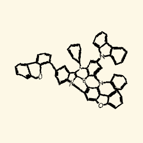 c1ccc(N2c3cc(-n4c5ccccc5c5ccccc54)cc4c3B3c5c(cc6oc7ccccc7c6c5N4c4ccccc4)-n4c3c2c2cc(-c3cccc5c3oc3ccccc35)ccc24)cc1